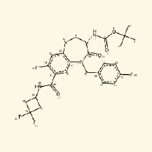 CC(C)(C)OC(=O)N[C@H]1CSc2cc(F)c(C(=O)NC3CC(F)(F)C3)cc2N(Cc2ccc(F)cc2)C1=O